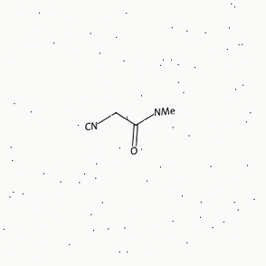 [C-]#[N+]CC(=O)NC